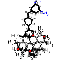 BBB(B)B(B(B)B)B(B(B(B(B)B)B(B)B)B(B(B)B)B(B)B)B(B(B(B(B)B)B(B)B)B(B(B)B)B(B)B)C1CCC(C2CCC(Cc3cc(N)cc(N)c3)CC2)CC1